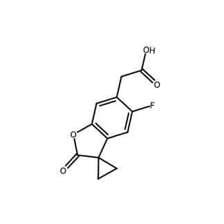 O=C(O)Cc1cc2c(cc1F)C1(CC1)C(=O)O2